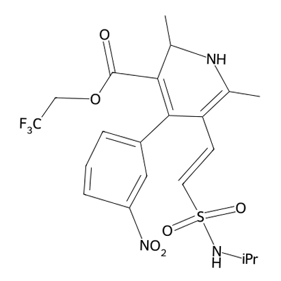 CC1=C(C=CS(=O)(=O)NC(C)C)C(c2cccc([N+](=O)[O-])c2)=C(C(=O)OCC(F)(F)F)C(C)N1